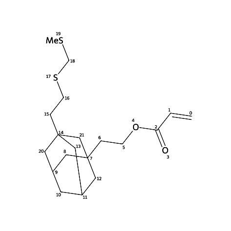 C=CC(=O)OCCC12CC3CC(C1)CC(CCSCSC)(C3)C2